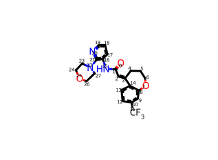 O=C(/C=C1\CCCOc2cc(C(F)(F)F)ccc21)Nc1cccnc1N1CCOCC1